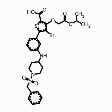 CC(C)OC(=O)COc1c(C(=O)O)sc(-c2cccc(NC3CCN(S(=O)(=O)Cc4ccccc4)CC3)c2)c1Br